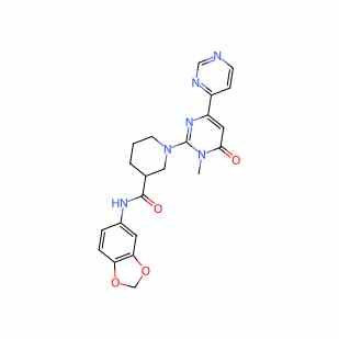 Cn1c(N2CCCC(C(=O)Nc3ccc4c(c3)OCO4)C2)nc(-c2ccncn2)cc1=O